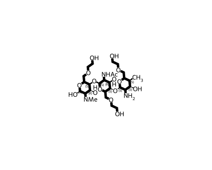 CNC1[C@H](O)OC(COCCO)[C@@H](O[C@@H]2OC(COCCO)[C@@H](O[C@@H]3OC(COCCO)[C@@H](C)[C@H](O)C3N)[C@H](O)C2NC(C)=O)[C@@H]1O